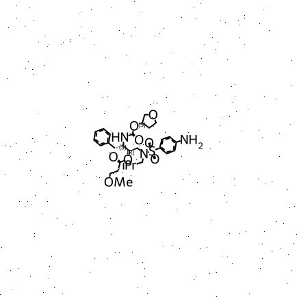 COCCC(=O)O[C@H](CN(CC(C)C)S(=O)(=O)c1ccc(N)cc1)[C@H](Cc1ccccc1)NC(=O)O[C@H]1CCOC1